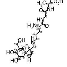 CC(NC(=O)CNC(=O)[C@@H](N)CCCNCC(F)(F)C1(O)CC(O)[C@@H](O)C(CO)O1)C(=O)O